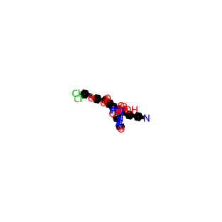 Cc1nc(N2CCOCC2)ccc1S(=O)(=O)N1Cc2cc3c(cc2C[C@H]1C(=O)NC(Cc1ccc(-c2ccc(C#N)cc2)cc1)C(=O)O)OC[C@H](c1ccc(OCc2ccc(Cl)c(Cl)c2)cc1)O3